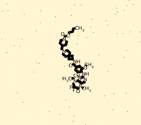 CCCCOC(=O)N1CCC(CN2CCC3(CC2)CC(NC(=O)c2ccc(Nc4ncc5c(n4)N(C(C)C)CC(F)(F)C(=O)N5C)c(OC)c2)C3)CC1